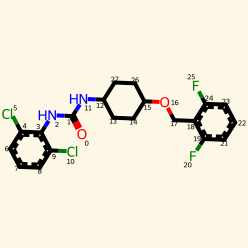 O=C(Nc1c(Cl)cccc1Cl)NC1CCC(OCc2c(F)cccc2F)CC1